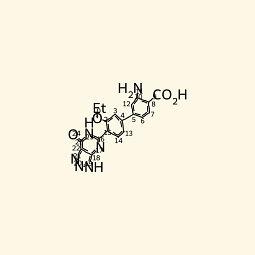 CCOc1cc(-c2ccc(C(=O)O)c(N)c2)ccc1-c1nc2[nH]nnc2c(=O)[nH]1